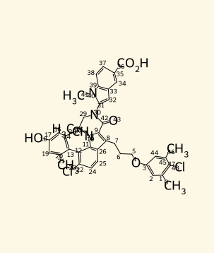 Cc1cc(OCCCc2c3n(c4c(-c5c(C)cc(O)cc5C)c(Cl)ccc24)[C@H](C)CN(c2cc4cc(C(=O)O)ccc4n2C)C3=O)cc(C)c1Cl